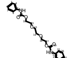 O=C(Nc1ccccc1)OCCOCCOCCOC(=O)Nc1ccccc1